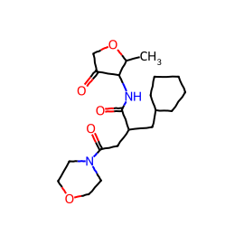 CC1OCC(=O)C1NC(=O)C(CC(=O)N1CCOCC1)CC1CCCCC1